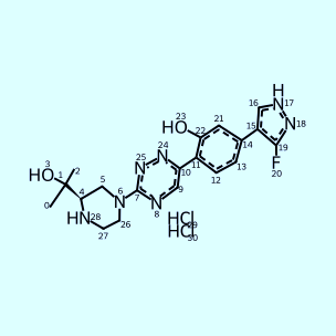 CC(C)(O)[C@H]1CN(c2ncc(-c3ccc(-c4c[nH]nc4F)cc3O)nn2)CCN1.Cl.Cl